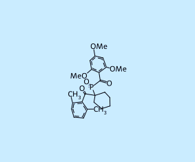 COc1cc(OC)c(C(=O)[P](=O)C2(C(=O)c3c(C)cccc3C)CCCCC2)c(OC)c1